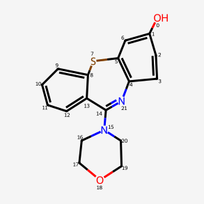 Oc1ccc2c(c1)Sc1ccccc1C(N1CCOCC1)=N2